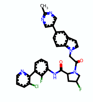 Cc1ncc(-c2ccc3c(ccn3CC(=O)N3CC(F)CC3C(=O)Nc3cccc(-c4ncccc4Cl)c3F)c2)cn1